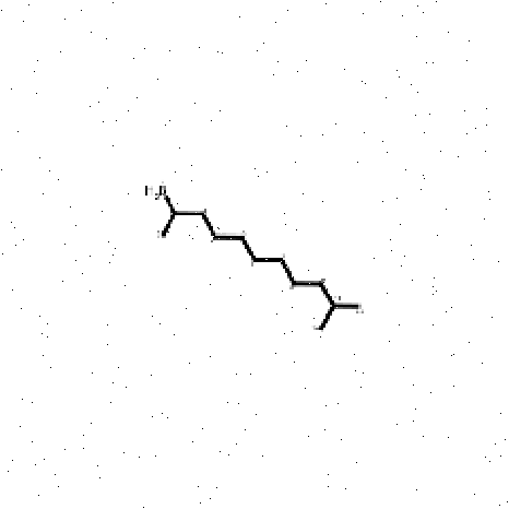 BC(C)CCCCCCCC(C)C